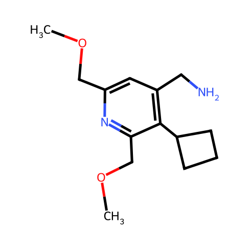 COCc1cc(CN)c(C2CCC2)c(COC)n1